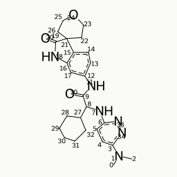 CN(C)c1ccc(NC(C(=O)Nc2ccc3c(c2)NC(=O)C32CCOCC2)C2CCCCC2)nn1